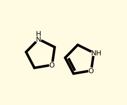 C1=CONC1.C1COCN1